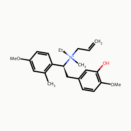 C=CC[N@@+](C)(CC)[C@@H](Cc1ccc(OC)c(O)c1)c1ccc(OC)cc1C